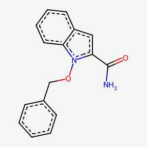 NC(=O)c1cc2ccccc2n1OCc1ccccc1